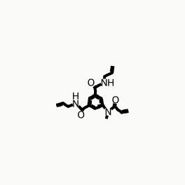 C=CCNC(=O)c1cc(C(=O)NCC=C)cc(N(C)C(=O)C=C)c1